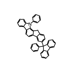 c1ccc(-n2c3ccccc3c3ccc4c(c32)Cc2ccc(C3(c5ccccc5)c5ccccc5-c5ccccc53)cc2-4)cc1